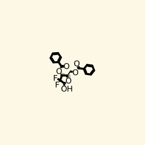 O=C(OC[C@H]1OC(O)C(F)(F)[C@H]1OC(=O)c1ccccc1)c1ccccc1